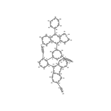 N#Cc1cc(-c2c(C#N)cccc2-n2c3ccccc3c3cc(C#N)ccc32)cc(-c2c3ccccc3c(-c3ccccc3)c3ccccc23)c1